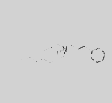 CCCCN1CC2CN(CC=Cc3ccccc3)CC(C1)C2(C)C